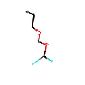 CCCO[CH]OC(F)F